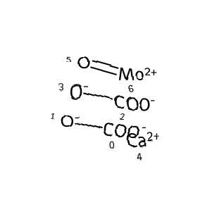 O=C([O-])[O-].O=C([O-])[O-].[Ca+2].[O]=[Mo+2]